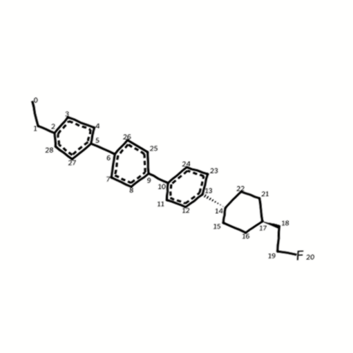 CCc1ccc(-c2ccc(-c3ccc([C@H]4CC[C@H](CCF)CC4)cc3)cc2)cc1